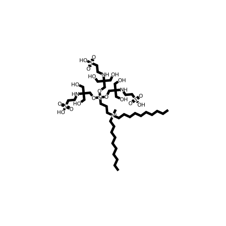 CCCCCCCCCC[N+](C)(CCCCCCCCCC)CCC[Si](OCC(CO)(CO)NCCS(=O)(=O)O)(OCC(CO)(CO)NCCS(=O)(=O)O)OCC(CO)(CO)NCCS(=O)(=O)O